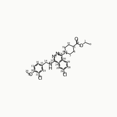 CCOC(=O)C1CCN(c2nnc(NCc3ccc(OC)c(Cl)c3)c3cc(Cl)ccc23)CC1